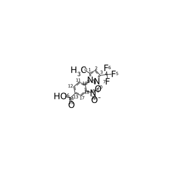 Cc1cc(C(F)(F)F)nn1-c1ccc(C(=O)O)cc1[N+](=O)[O-]